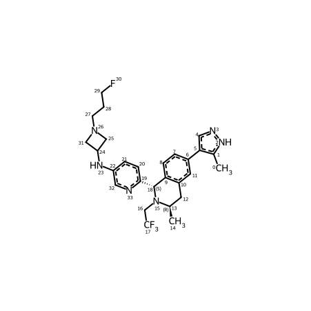 Cc1[nH]ncc1-c1ccc2c(c1)C[C@@H](C)N(CC(F)(F)F)[C@@H]2c1ccc(NC2CN(CCCF)C2)cn1